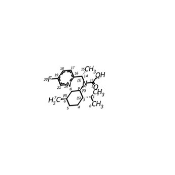 CC(C)[C@@H]1CC[C@@H](C)C[C@H]1N(C(=O)O)[C@@H](C)c1ccc(F)cn1